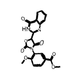 COC(=O)c1ccc(OC)c(N2C(=O)OC(c3nc4ccccc4c(=O)[nH]3)C2=O)c1